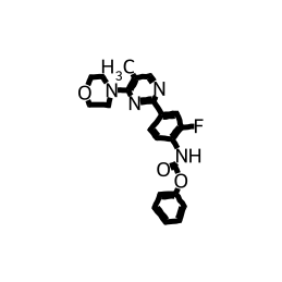 Cc1cnc(-c2ccc(NC(=O)Oc3ccccc3)c(F)c2)nc1N1CCOCC1